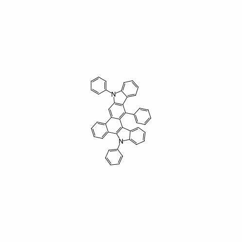 c1ccc(-c2c3c(cc4c2c2ccccc2n4-c2ccccc2)c2ccccc2c2c3c3ccccc3n2-c2ccccc2)cc1